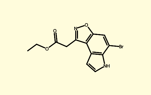 CCOC(=O)Cc1noc2cc(Br)c3[nH]ccc3c12